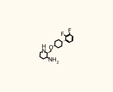 NC1CCCN[C@H]1CO[C@H]1CC[C@@H](c2cccc(F)c2F)CC1